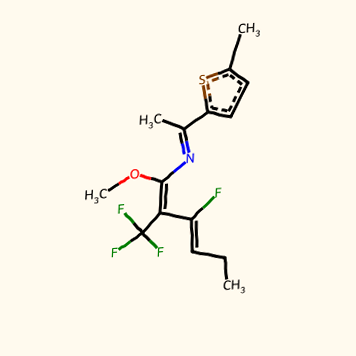 CC/C=C(F)/C(=C(\N=C(/C)c1ccc(C)s1)OC)C(F)(F)F